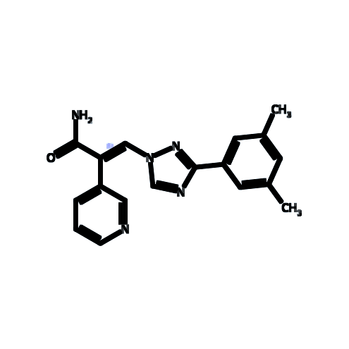 Cc1cc(C)cc(-c2ncn(/C=C(/C(N)=O)c3cccnc3)n2)c1